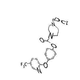 CCCCCCCCN1CCN(C(=O)Oc2ccc(Oc3ccc(C(F)(F)F)cn3)cc2)CC1